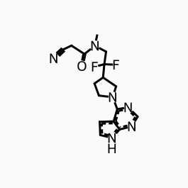 CN(CC(F)(F)C1CCN(c2ncnc3[nH]ccc23)C1)C(=O)CC#N